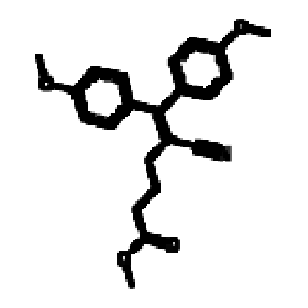 COC(=O)CCCC(C#N)=C(c1ccc(OC)cc1)c1ccc(OC)cc1